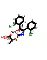 CC(Sc1nc(-c2ccccc2Br)c(-c2ccccc2Br)o1)C(=O)O